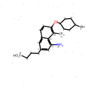 CC(C)(C)C1CCC(Oc2ccc3cc(CCCC(=O)O)cc(N)c3c2C(F)(F)F)CC1